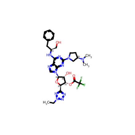 CCn1nnc([C@H]2O[C@@H](n3cnc4c(N[C@H](CO)Cc5ccccc5)nc(N5CC[C@@H](N(C)C)C5)nc43)[C@H](O)[C@@H]2OC(=O)C(F)(F)F)n1